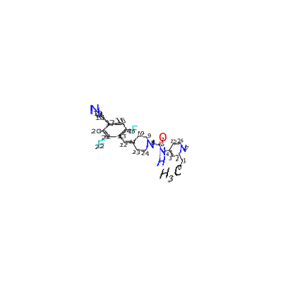 CCc1cc(NC(=O)N2CCC(=Cc3c(F)cc(C#N)cc3F)CC2)ccn1